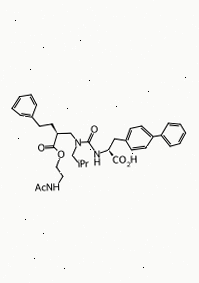 CC(=O)NCCOC(=O)[C@@H](CCc1ccccc1)CN(CC(C)C)C(=O)N[C@@H](Cc1ccc(-c2ccccc2)cc1)C(=O)O